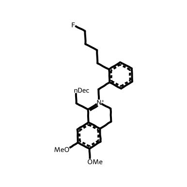 CCCCCCCCCCCC1=[N+](Cc2ccccc2CCCCF)CCc2cc(OC)c(OC)cc21